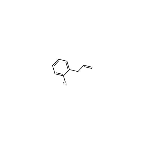 [2H]c1ccccc1[CH]C=C